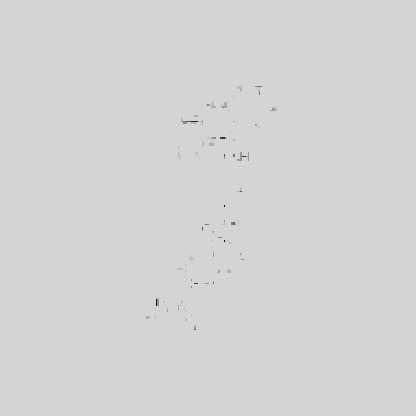 O=C(NO)c1ccc(S(=O)(=O)NCCCNc2c3c(nc4ccccc24)CCCC3)cc1